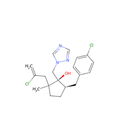 C=C(Cl)CC1(C)CC[C@H](Cc2ccc(Cl)cc2)[C@@]1(O)Cn1cncn1